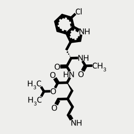 CC(=O)N[C@@H](Cc1c[nH]c2c(Cl)cccc12)C(=O)N[C@@H](CC(C=O)CC=N)C(=O)OC(C)C